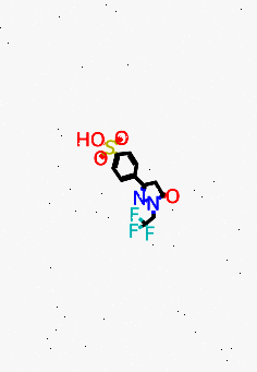 O=C1CC(c2ccc(S(=O)(=O)O)cc2)=NN1CC(F)(F)F